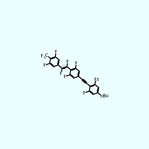 CCCCc1cc(F)c(C#Cc2cc(F)c(/C(F)=C(\F)c3cc(F)c(C(F)(F)F)c(F)c3)c(F)c2)c(CC)c1